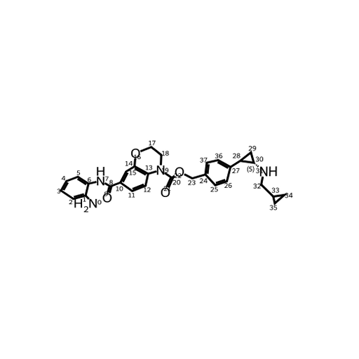 Nc1ccccc1NC(=O)c1ccc2c(c1)OCCN2C(=O)OCc1ccc(C2C[C@@H]2NCC2CC2)cc1